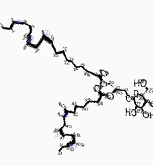 CC/C=C\C/C=C\C/C=C\CCCCCCCC(=O)OC[C@H](CO[C@@H]1O[C@H](CO)[C@H](O)C(O)C1O)OC(=O)CCCCC/C=C\C/C=C\C/C=C\CC